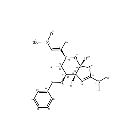 CC(=C[S+]([O-])C(C)(C)C)[C@H]1O[C@@H]2SC(N(C)C)=N[C@@H]2[C@@H](OCc2ccccc2)[C@@H]1C